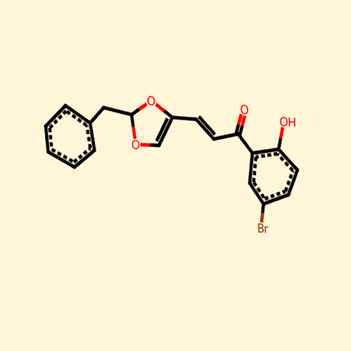 O=C(C=CC1=COC(Cc2ccccc2)O1)c1cc(Br)ccc1O